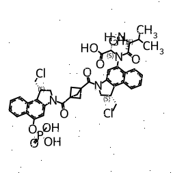 CC(C)[C@H](N)C(=O)N(c1cc2c(c3ccccc13)[C@H](CCl)CN2C(=O)C12CC(C(=O)N3C[C@@H](CCl)c4c3cc(OP(=O)(O)O)c3ccccc43)(C1)C2)[C@@H](C)C(=O)O